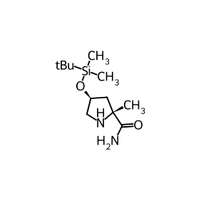 CC(C)(C)[Si](C)(C)O[C@@H]1CN[C@@](C)(C(N)=O)C1